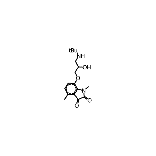 Cc1ccc(OCC(O)CNC(C)(C)C)c2c1C(=O)C(=O)N2C